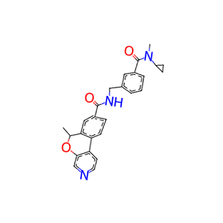 CC1Oc2cnccc2-c2ccc(C(=O)NCc3cccc(C(=O)N(C)C4CC4)c3)cc21